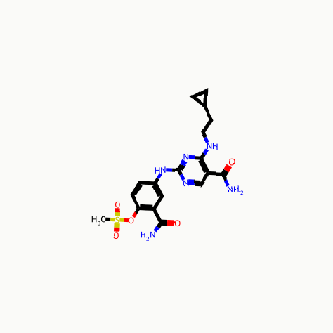 CS(=O)(=O)Oc1ccc(Nc2ncc(C(N)=O)c(NCCC3CC3)n2)cc1C(N)=O